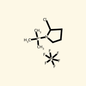 C[P+](C)(C)N1CCCC1Cl.F[P-](F)(F)(F)(F)F